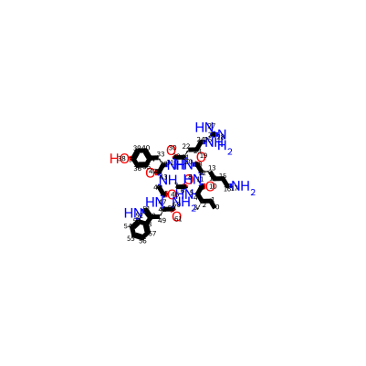 CC[C@H](C)[C@H](NC(C)=O)C(=O)N[C@@H](CCCCN)C(=O)N[C@@H](CCCNC(=N)N)C(=O)N[C@@H](Cc1ccc(O)cc1)C(=O)NCC(=O)N[C@@H](Cc1c[nH]c2ccccc12)C(N)=O